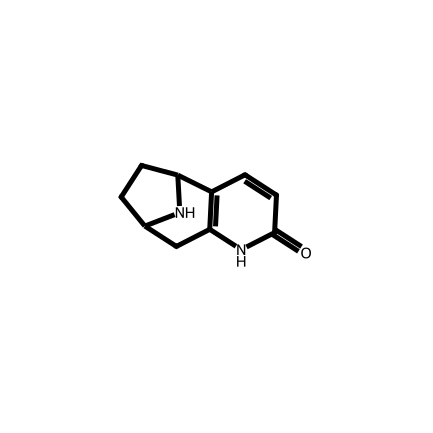 O=c1ccc2c([nH]1)CC1CCC2N1